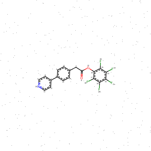 O=C(Cc1ccc(-c2ccncc2)cc1)Oc1c(F)c(F)c(F)c(F)c1F